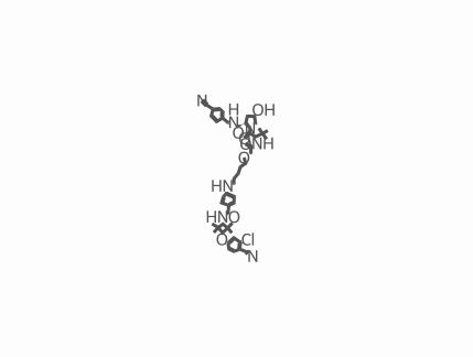 CC(C)(C)[C@H](NC(=O)COCCCCCNc1ccc(C(=O)N[C@H]2C(C)(C)[C@H](Oc3ccc(C#N)c(Cl)c3)C2(C)C)cc1)C(=O)N1C[C@H](O)C[C@H]1C(=O)NCc1ccc(C#N)cc1